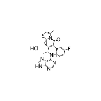 Cc1csc2nc(C(C)Nc3ncnc4[nH]cnc34)c(-c3cccc(F)c3)c(=O)n12.Cl